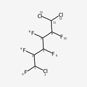 FC(Cl)C(F)C(F)C(F)C(F)C(Cl)Cl